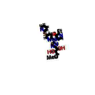 CCc1ncccc1Oc1cc(Sc2ccccn2)cnc1Nc1nc([C@H](O)[C@@H](O)COC)ns1